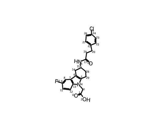 O=C(O)Cn1c2c(c3cc(F)ccc31)C[C@@H](NC(=O)CCc1ccc(Cl)cc1)CC2